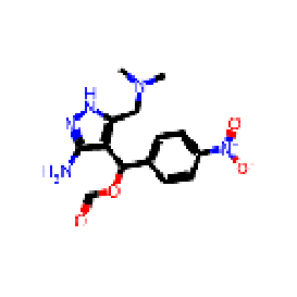 CN(C)Cc1[nH]nc(N)c1C(OC=O)c1ccc([N+](=O)[O-])cc1